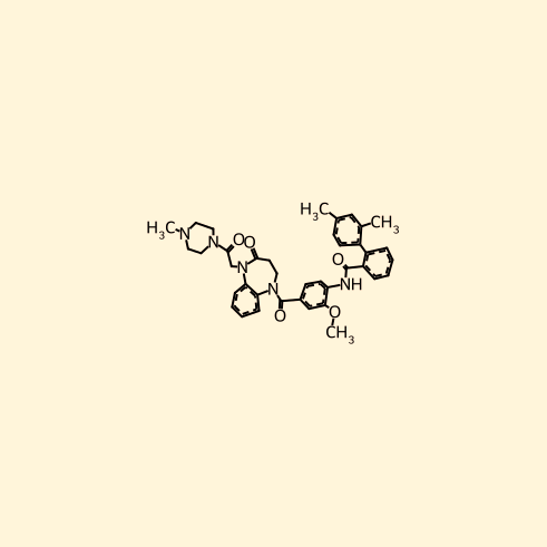 COc1cc(C(=O)N2CCC(=O)N(CC(=O)N3CCN(C)CC3)c3ccccc32)ccc1NC(=O)c1ccccc1-c1ccc(C)cc1C